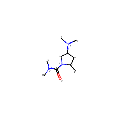 CC1CC(N(C)C)CN1C(=O)N(C)C